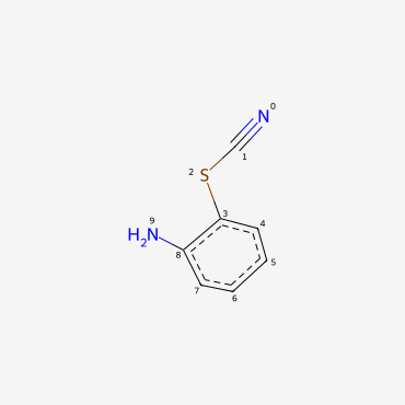 N#CSc1ccccc1N